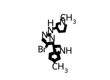 Cc1ccc2c(-c3nc(NC4CCCN(C)C4)ncc3Br)c[nH]c2c1